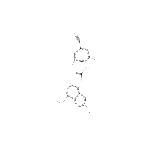 CCc1cc2c(OC(=O)Nc3c(C)cc(C#N)cc3Cl)cnc(OC)c2o1